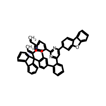 C=C/C=C1/Oc2cc(-c3ccccc3-c3cc(-c4ccc5c(c4)oc4ccccc45)nc(-c4ccccc4)n3)ccc2C2(/C1=C/C)c1ccccc1-c1ccccc12